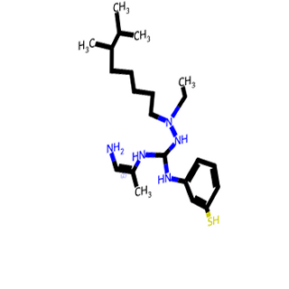 CCN(CCCCCC(C)C(C)C)NC(N/C(C)=C\N)Nc1cccc(S)c1